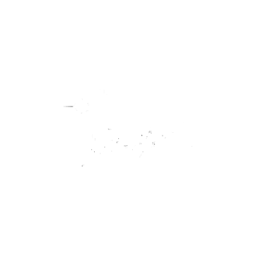 CCOC(=O)[C@@H]1CCCN([C@H]2CC[C@@]3(C)[C@@H](CC[C@]4(C)[C@@H]3C(=O)C=C3[C@@H]5C[C@@](C)(C(=O)O)CC[C@]5(C)CC[C@]34C)[C@]2(C)C(=O)OCc2oc(=O)oc2C)C1